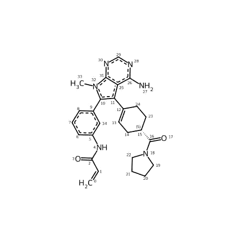 C=CC(=O)Nc1cccc(-c2c(C3=CC[C@@H](C(=O)N4CCCC4)CC3)c3c(N)ncnc3n2C)c1